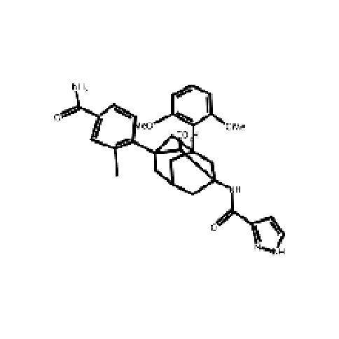 COc1cccc(OC)c1C12CC3CC(NC(=O)c4cc[nH]n4)(C1)C(C(=O)O)C(c1ccc(C(N)=O)cc1C)(C3)C2